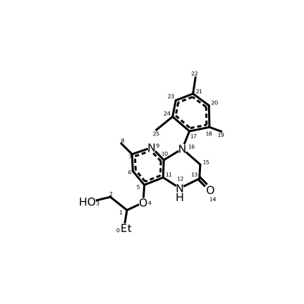 CCC(CO)Oc1cc(C)nc2c1NC(=O)CN2c1c(C)cc(C)cc1C